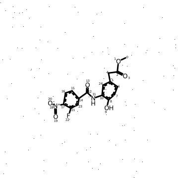 COC(=O)Cc1ccc(O)c(NC(=O)c2ccc([N+](=O)[O-])c(F)c2)c1